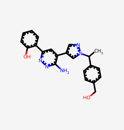 CC(c1ccc(CO)cc1)n1cc(-c2cc(-c3ccccc3O)nnc2N)cn1